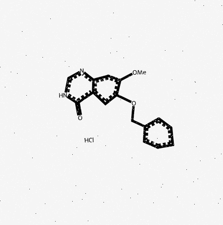 COc1cc2nc[nH]c(=O)c2cc1OCc1ccccc1.Cl